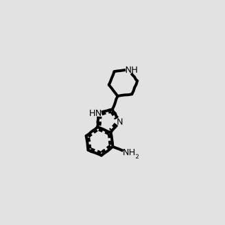 Nc1cccc2[nH]c(C3CCNCC3)nc12